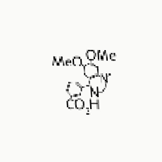 COc1cc2c(cc1OC)N(C)CCN=C2c1cccc(C(=O)O)c1